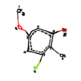 N#Cc1c(F)cc(OC(F)(F)F)cc1Br